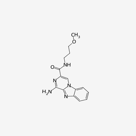 COCCCNC(=O)c1cn2c(nc3ccccc32)c(N)n1